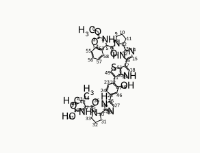 COC(=O)N[C@@H](C(=O)N1CCCC1c1ncc(-c2c[nH]c3c(-c4ccc(-c5cnc(C6CCCN6C(=O)[C@@H](NC(=O)O)C(C)C)[nH]5)cc4O)csc23)[nH]1)c1ccccc1